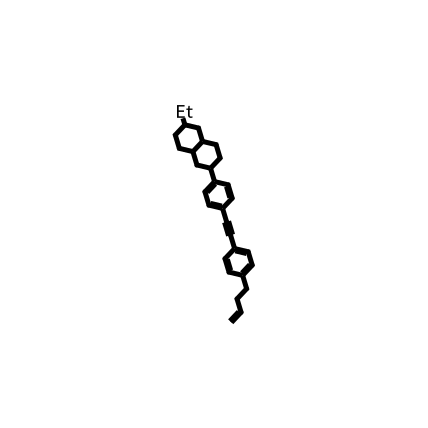 C=CCCc1ccc(C#Cc2ccc(C3CCC4CC(CC)CCC4C3)cc2)cc1